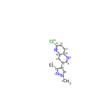 CCc1nn(C)cc1-c1cnc2ccc(Cl)nc2c1